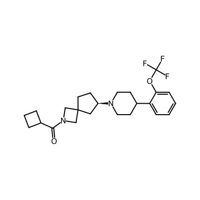 O=C(C1CCC1)N1CC2(CC[C@@H](N3CCC(c4ccccc4OC(F)(F)F)CC3)C2)C1